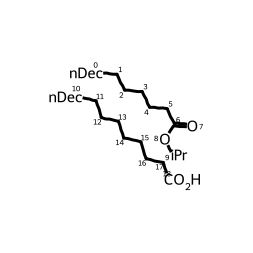 CCCCCCCCCCCCCCCC(=O)OC(C)C.CCCCCCCCCCCCCCCCCC(=O)O